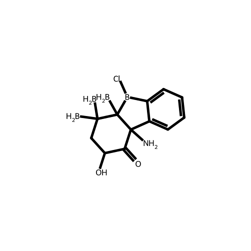 BC1(B)CC(O)C(=O)C2(N)c3ccccc3B(Cl)C12B